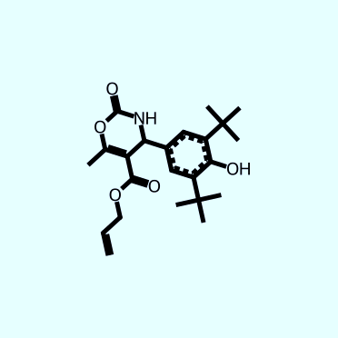 C=CCOC(=O)C1=C(C)OC(=O)NC1c1cc(C(C)(C)C)c(O)c(C(C)(C)C)c1